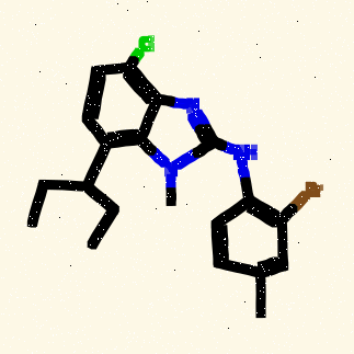 CCC(CC)c1ccc(Cl)c2nc(Nc3ccc(C)cc3Br)n(C)c12